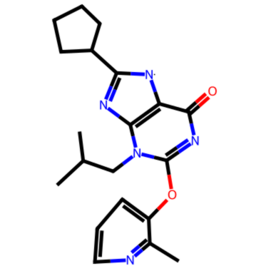 Cc1ncccc1Oc1nc(=O)c2c(n1CC(C)C)N=C(C1CCCC1)[N]2